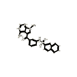 CC(C)n1cc(C(=O)c2cccc(NS(=O)(=O)c3ccc4ccccc4c3)c2)c2c(N)ncnc21